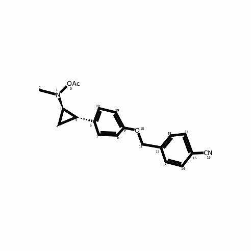 CC(=O)ON(C)[C@@H]1C[C@H]1c1ccc(OCc2ccc(C#N)cc2)cc1